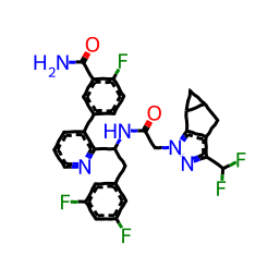 NC(=O)c1cc(-c2cccnc2C(Cc2cc(F)cc(F)c2)NC(=O)Cn2nc(C(F)F)c3c2C2CC2C3)ccc1F